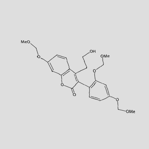 COCOc1ccc(-c2c(CCO)c3ccc(OCOC)cc3oc2=O)c(OCOC)c1